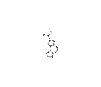 COC(=O)c1cc2c(ccn3ncnc23)s1